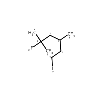 CC(F)(CC(CCI)C(F)(F)F)C(F)(F)F